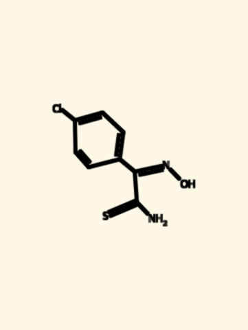 NC(=S)/C(=N\O)c1ccc(Cl)cc1